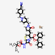 CC(C)(C)OC(=O)NC1C(=O)N2C(C(=O)OC(c3ccccc3)c3ccccc3)=C(C=C3CCN(Cc4cc[n+](Cc5ccc(C#N)cc5)cc4)C3=O)CSC12.[Br-]